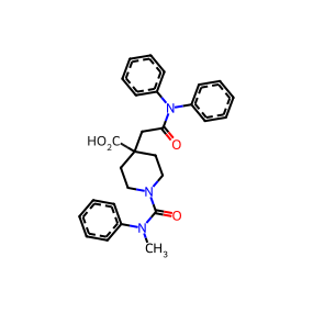 CN(C(=O)N1CCC(CC(=O)N(c2ccccc2)c2ccccc2)(C(=O)O)CC1)c1ccccc1